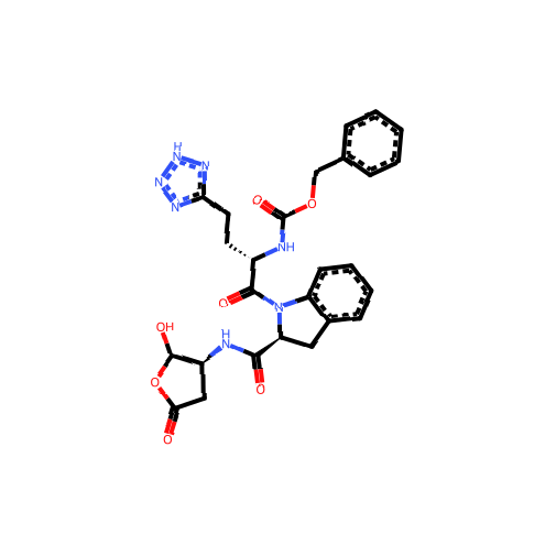 O=C1C[C@H](NC(=O)[C@@H]2Cc3ccccc3N2C(=O)[C@H](CCc2nn[nH]n2)NC(=O)OCc2ccccc2)C(O)O1